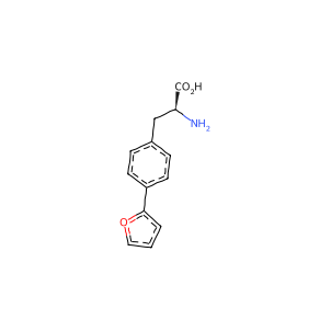 N[C@@H](Cc1ccc(-c2ccco2)cc1)C(=O)O